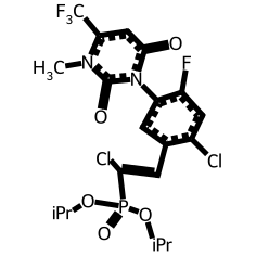 CC(C)OP(=O)(OC(C)C)C(Cl)=Cc1cc(-n2c(=O)cc(C(F)(F)F)n(C)c2=O)c(F)cc1Cl